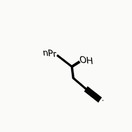 [C]#CCC(O)CCC